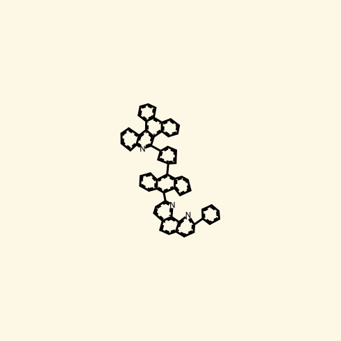 c1ccc(-c2ccc3ccc4ccc(-c5c6ccccc6c(-c6cccc(-c7nc8ccccc8c8c9ccccc9c9ccccc9c78)c6)c6ccccc56)nc4c3n2)cc1